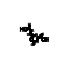 C=C(CCC(C)O)OC(=C)CCC(C)O